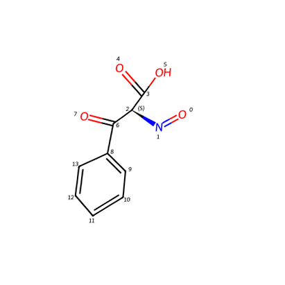 O=N[C@H](C(=O)O)C(=O)c1ccccc1